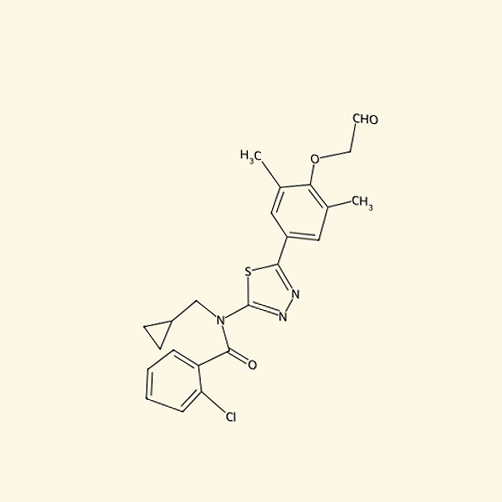 Cc1cc(-c2nnc(N(CC3CC3)C(=O)c3ccccc3Cl)s2)cc(C)c1OCC=O